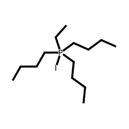 CCCCP(I)(CC)(CCCC)CCCC